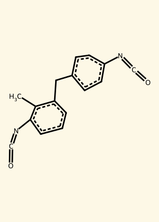 Cc1c(Cc2ccc(N=C=O)cc2)cccc1N=C=O